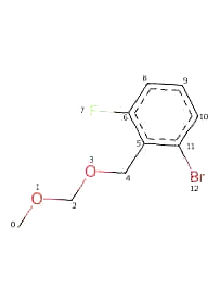 COCOCc1c(F)cccc1Br